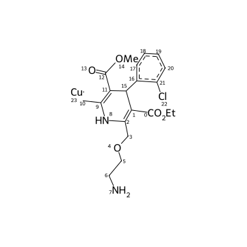 CCOC(=O)C1=C(COCCN)NC(C)=C(C(=O)OC)C1c1ccccc1Cl.[Cu]